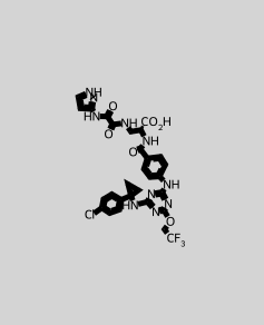 O=C(NC[C@H](NC(=O)c1ccc(Nc2nc(NC3(c4ccc(Cl)cc4)CC3)nc(OCC(F)(F)F)n2)cc1)C(=O)O)C(=O)Nc1cc[nH]n1